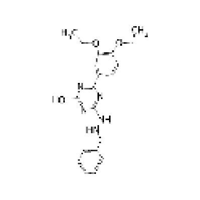 CCOc1ccc(-c2nc(O)nc(NNCc3ccccc3)n2)cc1OCC